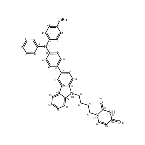 CCCCc1ccc(N(c2ccccc2)c2ccc(-c3ccc4c(c3)c3ccccc3n4CCCCn3ccc(=O)[nH]c3=O)cc2)cc1